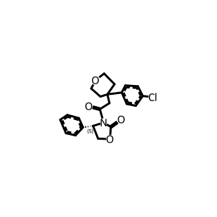 O=C(CC1(c2ccc(Cl)cc2)CCOCC1)N1C(=O)OC[C@@H]1c1ccccc1